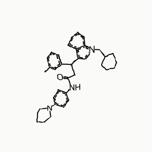 Cc1cccc(C(CC(=O)Nc2ccc(N3CCCCC3)cc2)c2cn(CC3CCCCC3)c3ccccc23)c1